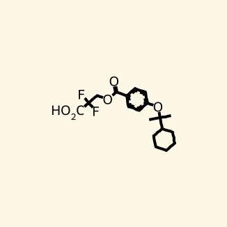 CC(C)(Oc1ccc(C(=O)OCC(F)(F)C(=O)O)cc1)C1CCCCC1